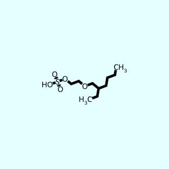 CCCCC(CC)COCCOS(=O)(=O)O